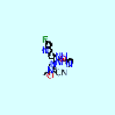 C=CC(=O)N1CCN(C2NC(OC[C@H]3CCCN3C)NC3C[C@]4(CCC32)Cc2ccc(F)cc2N(C)C4)C[C@H]1CC#N